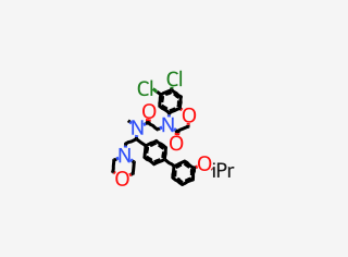 CC(C)Oc1cccc(-c2ccc(C(CN3CCOCC3)N(C)C(=O)CN3C(=O)COc4cc(Cl)c(Cl)cc43)cc2)c1